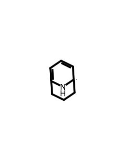 C1=C[C]2CCCC(=C1)N2